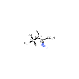 [2H][13C@H]([13C@H]([15NH2])[13C](=O)O)[13C]([2H])([2H])C